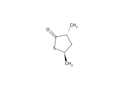 C[C@@H]1C[C@@H](C)C(=O)S1